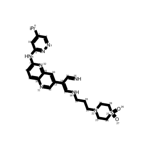 CC(C)c1cnnc(Nc2ccc3ncc(/C(C=N)=C/NCCCN4CCS(=O)(=O)CC4)cc3n2)c1